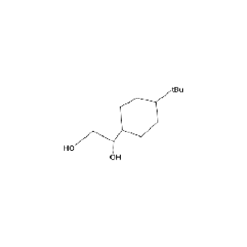 CC(C)(C)C1CCC(C(O)CO)CC1